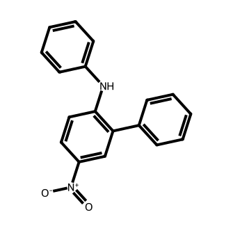 O=[N+]([O-])c1ccc(Nc2ccccc2)c(-c2ccccc2)c1